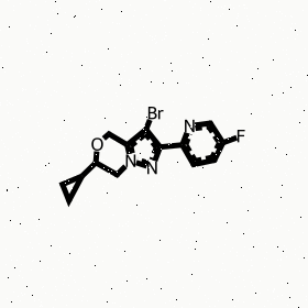 Fc1ccc(-c2nn3c(c2Br)COC(C2CC2)C3)nc1